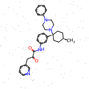 C[C@H]1CC[C@](c2cccc(NC(=O)C(=O)Cc3cccnc3)c2)(N2CCN(c3ccccc3)CC2)CC1